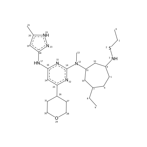 CCSNC1CCC(CC)CC(N(C)c2nc(Nc3cc(C)[nH]n3)cc(C3CCOCC3)n2)C1